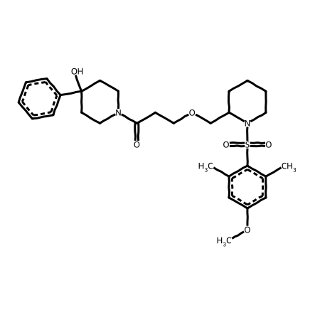 COc1cc(C)c(S(=O)(=O)N2CCCCC2COCCC(=O)N2CCC(O)(c3ccccc3)CC2)c(C)c1